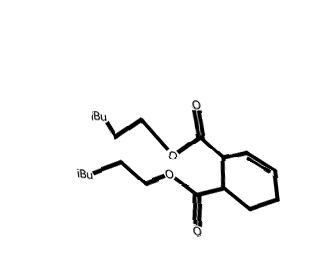 CCC(C)CCOC(=O)C1C=CCCC1C(=O)OCCC(C)CC